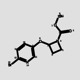 CC(C)(C)OC(=O)N1CCC1Oc1ccc(Br)nc1